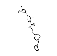 Cc1ccc(N2CCN(C(=O)NCCC3CCN(Cc4ccccc4)CC3)[C@H](C)C2)cc1F